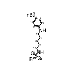 CCCCc1ccc(NCCCCCNS(=O)(=O)C(C)C)cc1